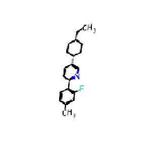 CC[C@H]1CC[C@H](c2ccc(-c3ccc(C)cc3F)nc2)CC1